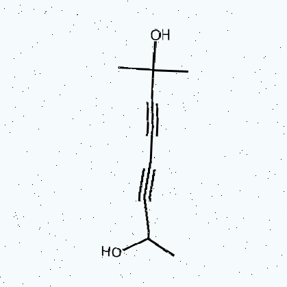 CC(O)C#CC#CC(C)(C)O